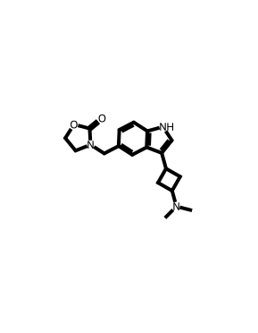 CN(C)C1CC(c2c[nH]c3ccc(CN4CCOC4=O)cc23)C1